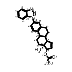 CC(C)(C)C(=O)O[C@H]1C=CC2C3CCc4cc(-n5nnc6ccccc65)ccc4C3CC[C@@]21C